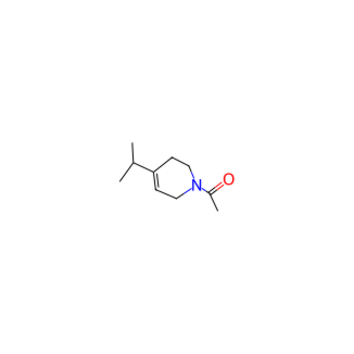 CC(=O)N1CC=C(C(C)C)CC1